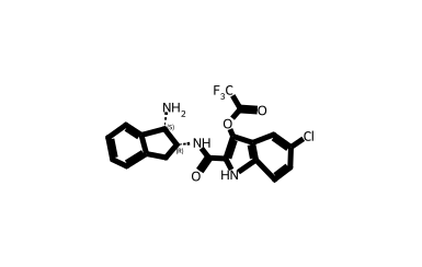 N[C@H]1c2ccccc2C[C@H]1NC(=O)c1[nH]c2ccc(Cl)cc2c1OC(=O)C(F)(F)F